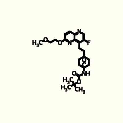 COCCOc1ccc2ncc(F)c(CCC34CCC(NC(=O)OC(C)(C)C)(CC3)CO4)c2n1